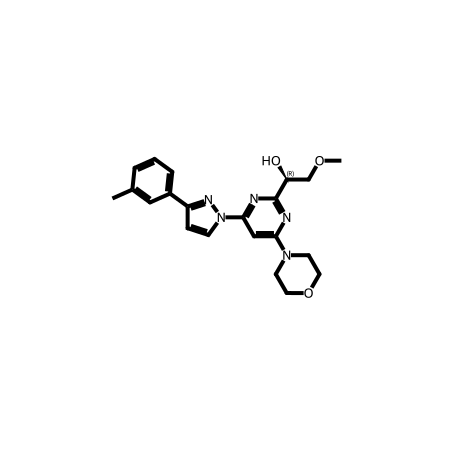 COC[C@H](O)c1nc(N2CCOCC2)cc(-n2ccc(-c3cccc(C)c3)n2)n1